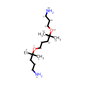 CCC(C)(CCCN)OCCCC(C)(C)OCCCN